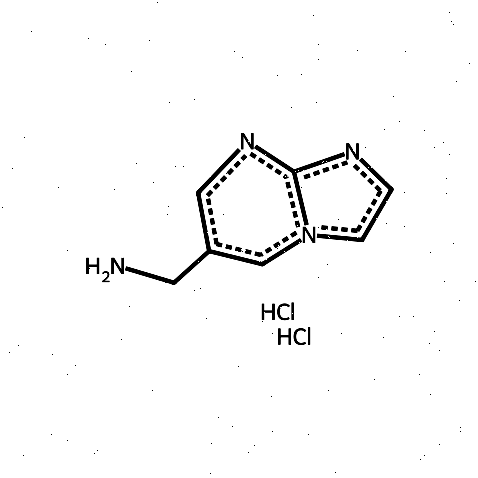 Cl.Cl.NCc1cnc2nccn2c1